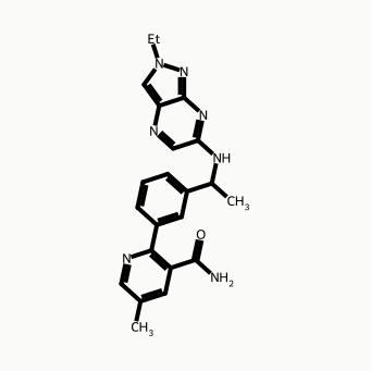 CCn1cc2ncc(NC(C)c3cccc(-c4ncc(C)cc4C(N)=O)c3)nc2n1